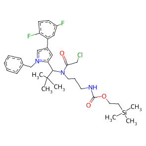 CC(C)(C)C(c1cc(-c2cc(F)ccc2F)cn1Cc1ccccc1)N(CCCNC(=O)OCC[Si](C)(C)C)C(=O)CCl